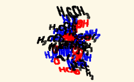 CCCC(=O)N[C@@H](CC(C)C)C(=O)N[C@H](CCC(=O)O)C(=O)N[C@H](CCC(N)=O)CN[C@@H](C(=O)N[C@H](CC(C)C)C(=O)N[C@@H](CCC(N)=O)C(=O)N[C@H](COC(=O)C[C@@H](C)CC)C(=O)N[C@@H](C(=O)N[C@H](CC(C)C)C(=O)N[C@H](CCC(N)=O)C(=O)N[C@@H](CC(C)C)C(=O)N[C@@H](CC(C)C)C(=O)N[C@H](CCC(N)O)C(N)=O)C(C)C)C(C)C